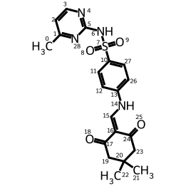 Cc1ccnc(NS(=O)(=O)c2ccc(NC=C3C(=O)CC(C)(C)CC3=O)cc2)n1